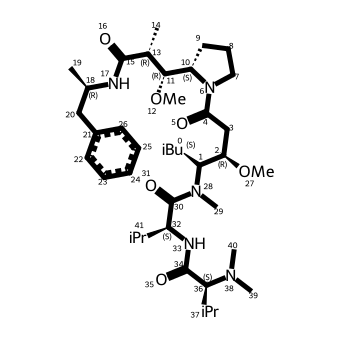 CC[C@H](C)C([C@@H](CC(=O)N1CCC[C@H]1[C@H](OC)[C@@H](C)C(=O)N[C@H](C)Cc1ccccc1)OC)N(C)C(=O)[C@@H](NC(=O)[C@H](C(C)C)N(C)C)C(C)C